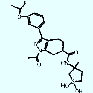 CC(=O)n1nc(-c2cccc(OC(F)F)c2)c2c1CC(C(=O)NC1(C)CCS(O)(O)C1)CC2